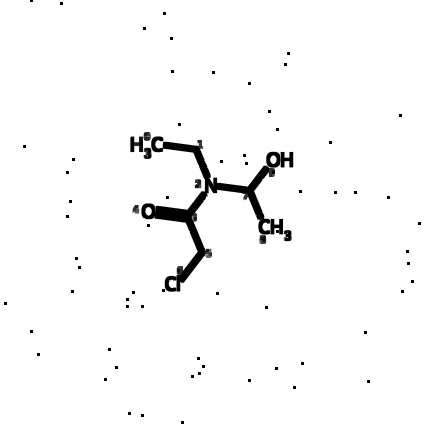 CCN(C(=O)CCl)C(C)O